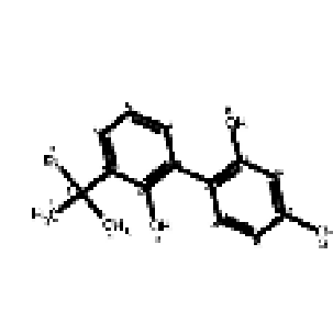 CCC(C)(C)c1cccc(-c2ccc(C)cc2O)c1O